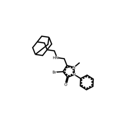 Cn1c(CNCC23CC4CC(CC(C4)C2)C3)c(Br)c(=O)n1-c1ccccc1